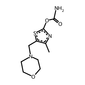 Cc1nc(OC(N)=O)sc1CN1CCOCC1